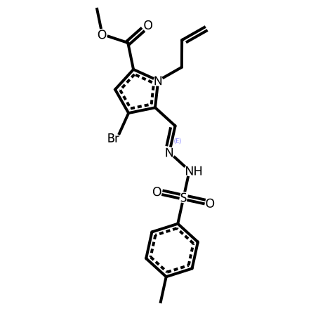 C=CCn1c(C(=O)OC)cc(Br)c1/C=N/NS(=O)(=O)c1ccc(C)cc1